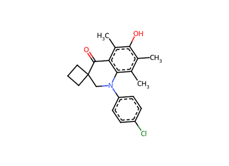 Cc1c(C)c2c(c(C)c1O)C(=O)C1(CCC1)CN2c1ccc(Cl)cc1